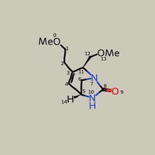 COCCC1=C[C@@H]2CN(C(=O)N2)[C@@H]1COC